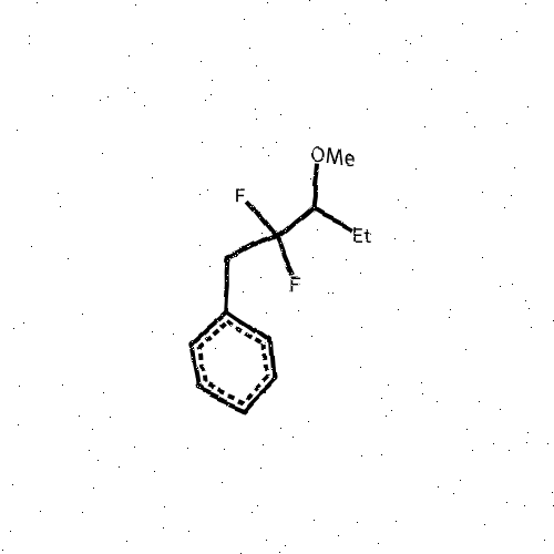 [CH2]CC(OC)C(F)(F)Cc1ccccc1